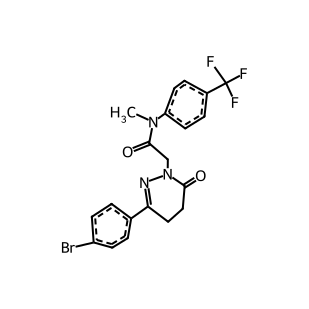 CN(C(=O)CN1N=C(c2ccc(Br)cc2)CCC1=O)c1ccc(C(F)(F)F)cc1